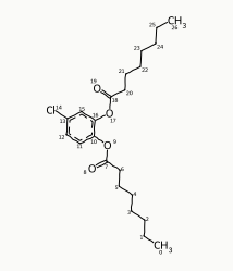 CCCCCCCC(=O)Oc1ccc(Cl)cc1OC(=O)CCCCCCC